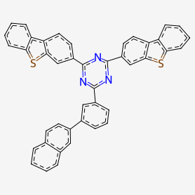 c1cc(-c2ccc3ccccc3c2)cc(-c2nc(-c3ccc4c(c3)sc3ccccc34)nc(-c3ccc4c(c3)sc3ccccc34)n2)c1